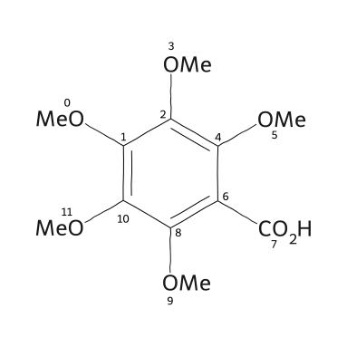 COc1c(OC)c(OC)c(C(=O)O)c(OC)c1OC